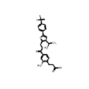 Cc1cc(C(=O)CCc2sc(-c3ccc(C(F)(F)F)cc3)cc2C(C)C)ccc1CCC(=O)O